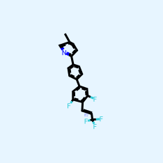 Cc1ccc(-c2ccc(-c3cc(F)c(/C=C/C(F)(F)F)c(F)c3)cc2)nc1